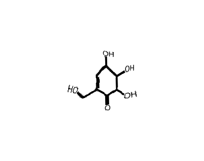 O=C1C(CO)=CC(O)C(O)C1O